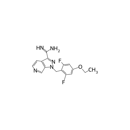 CCOc1cc(F)c(Cn2nc(C(=N)N)c3ccncc32)c(F)c1